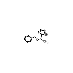 CC(SCc1ccccc1)c1nnn[nH]1